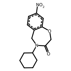 O=C1COc2cc([N+](=O)[O-])ccc2CN1C1CCCCC1